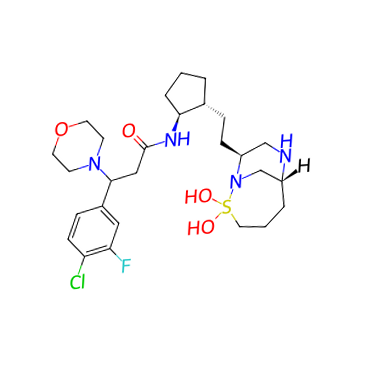 O=C(CC(c1ccc(Cl)c(F)c1)N1CCOCC1)N[C@H]1CCC[C@@H]1CC[C@H]1CN[C@@H]2CCCS(O)(O)N1C2